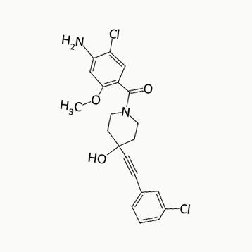 COc1cc(N)c(Cl)cc1C(=O)N1CCC(O)(C#Cc2cccc(Cl)c2)CC1